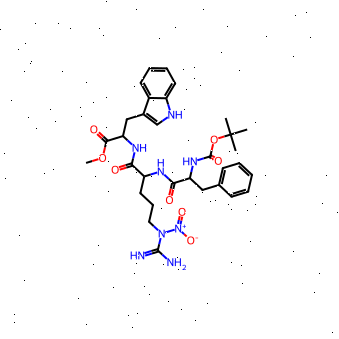 COC(=O)C(Cc1c[nH]c2ccccc12)NC(=O)C(CCCN(C(=N)N)[N+](=O)[O-])NC(=O)C(Cc1ccccc1)NC(=O)OC(C)(C)C